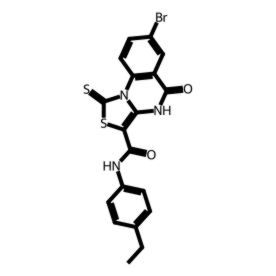 CCc1ccc(NC(=O)c2sc(=S)n3c2[nH]c(=O)c2cc(Br)ccc23)cc1